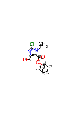 CCn1c(Cl)nc(C=O)c1C(=O)OC1CC2CCC1CC2